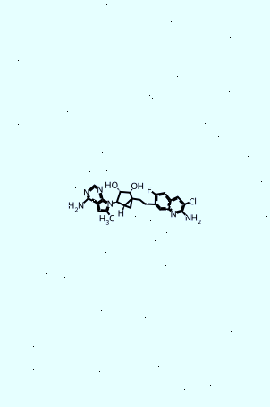 Cc1cc2c(N)ncnc2n1[C@H]1[C@H](O)[C@H](O)C2(CCc3cc4nc(N)c(Cl)cc4cc3F)C[C@H]12